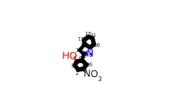 O=[N+]([O-])c1ccc(O)c(C2=Nc3ccccc3C2)c1